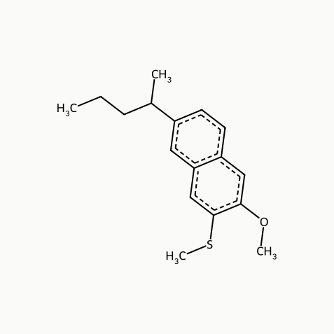 CCCC(C)c1ccc2cc(OC)c(SC)cc2c1